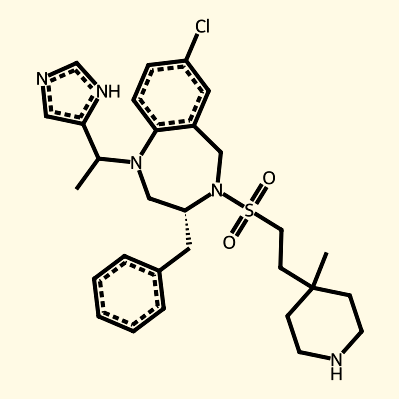 CC(c1cnc[nH]1)N1C[C@@H](Cc2ccccc2)N(S(=O)(=O)CCC2(C)CCNCC2)Cc2cc(Cl)ccc21